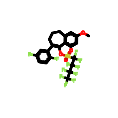 COc1ccc2c(c1)CCCC(c1cc(F)ccc1F)=C2OS(=O)(=O)C(F)(F)C(F)(F)C(F)(F)C(F)(F)F